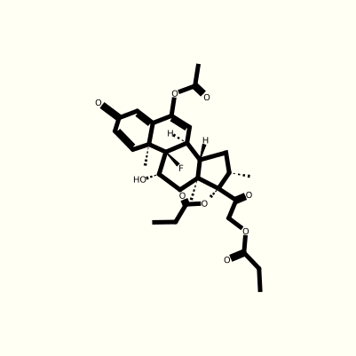 CCC(=O)OCC(=O)[C@]1(OC(=O)CC)[C@@H](C)C[C@H]2[C@@H]3C=C(OC(C)=O)C4=CC(=O)C=C[C@]4(C)[C@@]3(F)[C@@H](O)C[C@@]21C